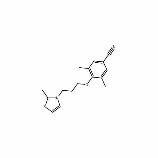 Cc1cc(C#N)cc(C)c1OCCCN1C=CSC1C